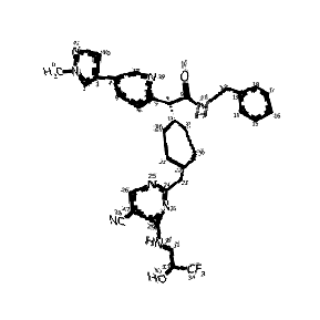 Cn1cc(-c2ccc(C(C(=O)NCc3ccccc3)[C@H]3CC[C@H](Cc4ncc(C#N)c(NCC(O)C(F)(F)F)n4)CC3)nc2)cn1